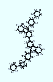 c1ccc(-c2ccc(-n3c4ccccc4c4cc(-c5ccc6c(c5)c5ccccc5n6-c5ccc(-c6nnc(-c7ccccc7)o6)cc5)ccc43)cc2)cc1